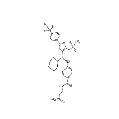 CS(=O)(=O)Cc1oc(-c2ccc(C(F)(F)F)cc2)cc1C(Nc1ccc(C(=O)NCCC(=O)O)cc1)C1CCCCC1